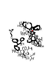 CC/C(=C(\c1ccccc1)c1ccc(OCCN(C)C)cc1)c1ccccc1.CC[C@]1(O)C[C@@H]2C[N@@](CCc3c([nH]c4ccccc34)[C@@](C(=O)OC)(c3cc4c(cc3OC)N(C)[C@H]3[C@@](O)(C(=O)OC)[C@H](OC(C)=O)[C@]5(CC)C=CCN6CC[C@]43[C@@H]65)C2)C1.O=C(O)CC(O)(CC(=O)O)C(=O)O.O=S(=O)(O)O